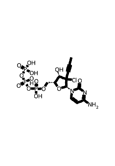 CC#CC1(Cl)[C@@H](O)[C@@H](COP(=O)(O)OP(=O)(O)OP(=O)(O)O)O[C@H]1n1ccc(N)nc1=O